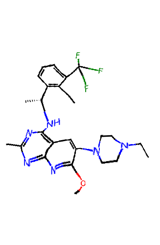 CCN1CCN(c2cc3c(N[C@H](C)c4cccc(C(F)(F)F)c4C)nc(C)nc3nc2OC)CC1